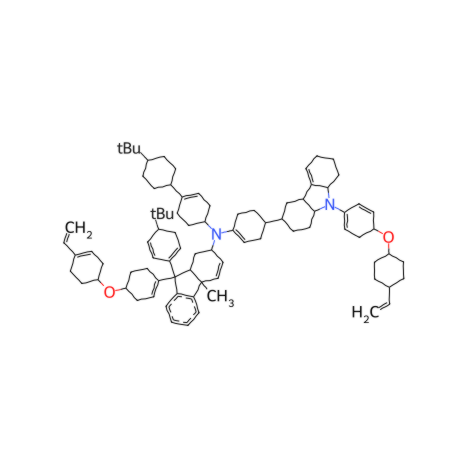 C=CC1=CCC(OC2CC=C(C3(C4=CCC(C(C)(C)C)C=C4)c4ccccc4C4(C)C=CC(N(C5=CCC(C6CCC7C(C6)C6=CCCCC6N7C6=CCC(OC7CCC(C=C)CC7)C=C6)CC5)C5CC=C(C6CCC(C(C)(C)C)CC6)CC5)CC43)CC2)CC1